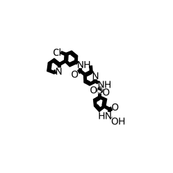 Cc1nc(NS(=O)(=O)c2cccc(C(=O)NO)c2)ccc1C(=O)Nc1ccc(Cl)c(-c2ccccn2)c1